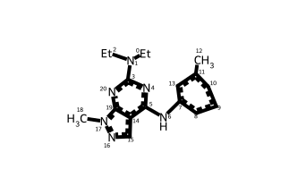 CCN(CC)c1nc(Nc2cccc(C)c2)c2cnn(C)c2n1